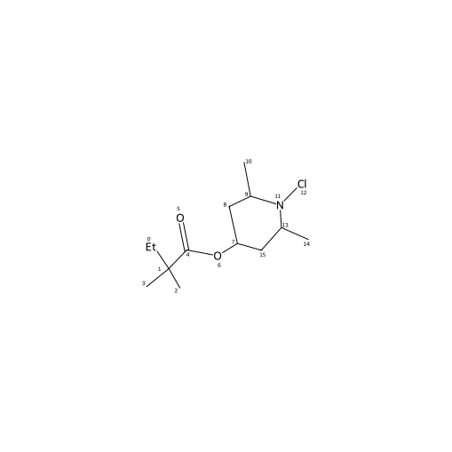 CCC(C)(C)C(=O)OC1CC(C)N(Cl)C(C)C1